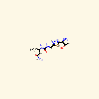 CC(O)C(N)c1nnc(CNC(=O)NC(CC(N)=O)C(=O)O)s1